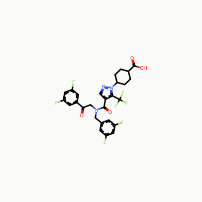 O=C(CN(Cc1cc(F)cc(F)c1)C(=O)c1cnn(C2CCC(C(=O)O)CC2)c1C(F)(F)F)c1cc(F)cc(F)c1